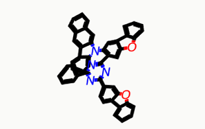 c1ccc(-c2nc(-c3ccc4c(c3)oc3ccccc34)nc(-c3cc4oc5ccccc5c4cc3-n3c4ccccc4c4cc5ccccc5cc43)n2)cc1